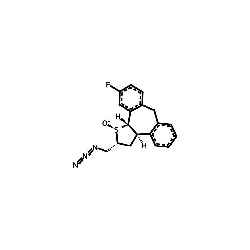 [N-]=[N+]=NC[C@H]1C[C@@H]2c3ccccc3Cc3ccc(F)cc3[C@H]2[S@+]1[O-]